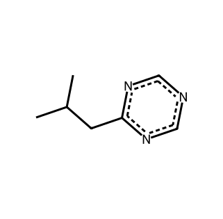 CC(C)Cc1ncncn1